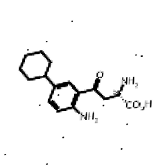 Nc1ccc(C2CCCCC2)cc1C(=O)C[C@H](N)C(=O)O